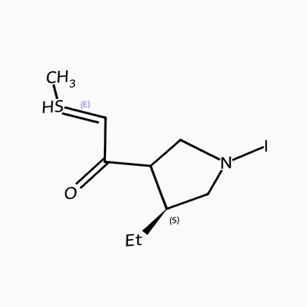 CC[C@@H]1CN(I)CC1C(=O)/C=[SH]/C